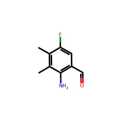 Cc1c(F)cc(C=O)c(N)c1C